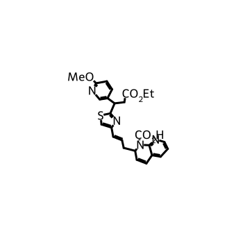 CCOC(=O)CC(c1ccc(OC)nc1)c1nc(C=CCC2C=Cc3cccnc3N2C(=O)O)cs1